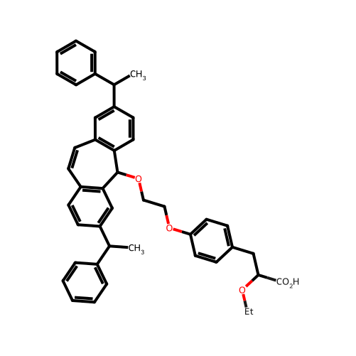 CCOC(Cc1ccc(OCCOC2c3ccc(C(C)c4ccccc4)cc3C=Cc3ccc(C(C)c4ccccc4)cc32)cc1)C(=O)O